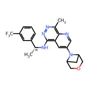 Cc1nnc(N[C@H](C)c2cccc(C(F)(F)F)c2)c2cc(N3C4COCC3C4)cnc12